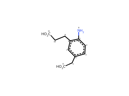 Nc1ccc(CC(=O)O)cc1CCC(=O)O